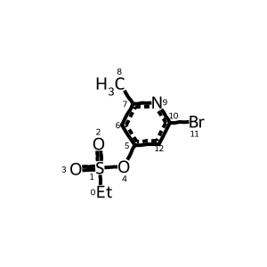 CCS(=O)(=O)Oc1cc(C)nc(Br)c1